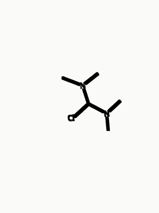 CN(C)C(Cl)N(C)C